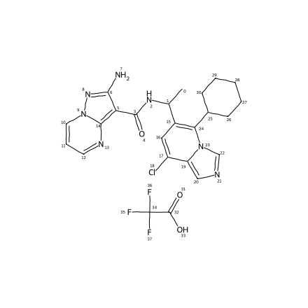 CC(NC(=O)c1c(N)nn2cccnc12)c1cc(Cl)c2cncn2c1C1CCCCC1.O=C(O)C(F)(F)F